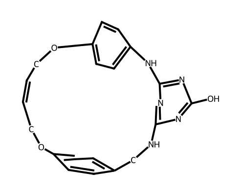 Oc1nc2nc(n1)Nc1ccc(cc1)OC/C=C\COc1ccc(cc1)CN2